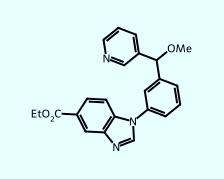 CCOC(=O)c1ccc2c(c1)ncn2-c1cccc(C(OC)c2cccnc2)c1